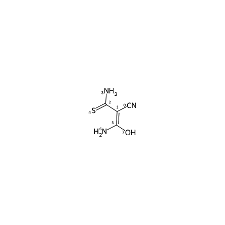 N#C/C(C(N)=S)=C(/N)O